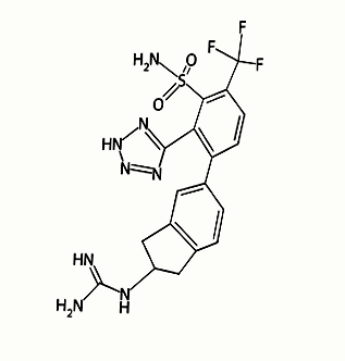 N=C(N)NC1Cc2ccc(-c3ccc(C(F)(F)F)c(S(N)(=O)=O)c3-c3nn[nH]n3)cc2C1